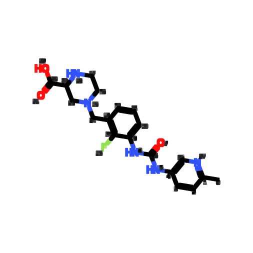 Cc1ccc(NC(=O)Nc2cccc(CN3CCNC(C(=O)O)C3)c2F)cn1